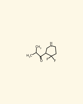 CC(C)C(=O)C1CNCCC1(F)F